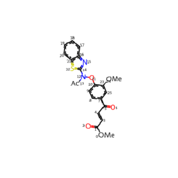 COC(=O)C=CC(=O)c1ccc(ON(C(C)=O)c2nc3ccccc3s2)c(OC)c1